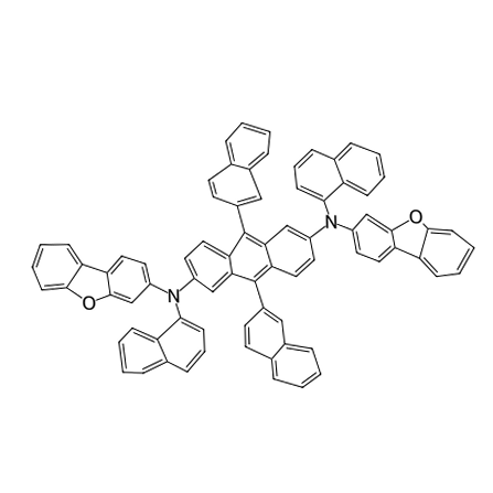 c1ccc2cc(-c3c4ccc(N(c5ccc6c(c5)oc5ccccc56)c5cccc6ccccc56)cc4c(-c4ccc5ccccc5c4)c4ccc(N(c5ccc6c(c5)oc5ccccc56)c5cccc6ccccc56)cc34)ccc2c1